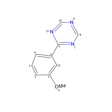 COc1[c]ccc(-c2ncncn2)c1